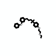 CCOCCOc1ccc(C(C)(C)CCCc2cccc(Oc3ccccc3)c2)cc1